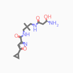 CC(C)(CNC(=O)C[C@H](N)O)CNC(=O)c1cc(C2CC2)on1